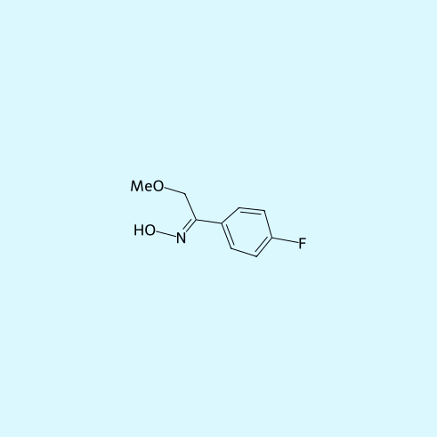 COCC(=NO)c1ccc(F)cc1